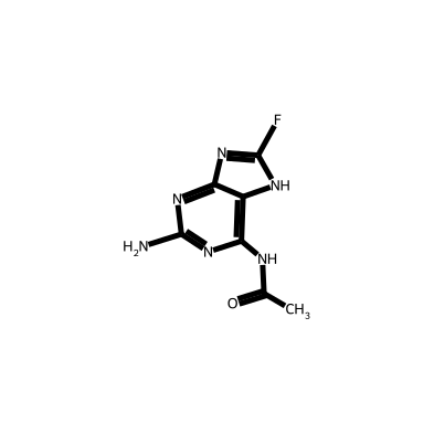 CC(=O)Nc1nc(N)nc2nc(F)[nH]c12